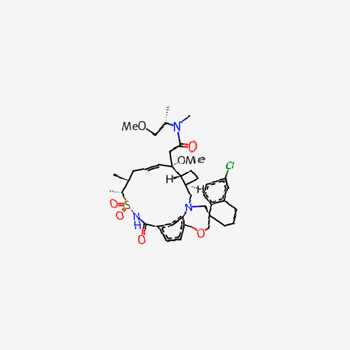 COC[C@H](C)N(C)C(=O)C[C@]1(OC)/C=C/C[C@H](C)[C@@H](C)S(=O)(=O)NC(=O)c2ccc3c(c2)N(C[C@@H]2CC[C@H]21)C[C@@]1(CCCc2cc(Cl)ccc21)CO3